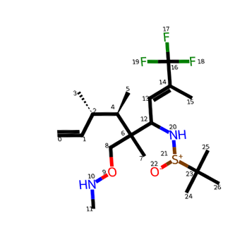 C=C[C@H](C)[C@@H](C)C(C)(CONC)C(/C=C(\C)C(F)(F)F)N[S+]([O-])C(C)(C)C